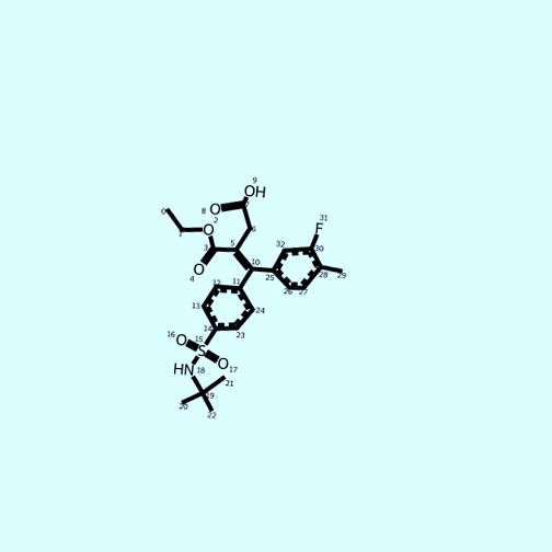 CCOC(=O)C(CC(=O)O)=C(c1ccc(S(=O)(=O)NC(C)(C)C)cc1)c1ccc(C)c(F)c1